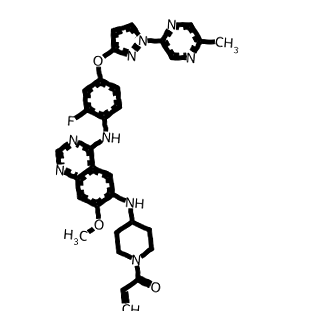 C=CC(=O)N1CCC(Nc2cc3c(Nc4ccc(Oc5ccn(-c6cnc(C)cn6)n5)cc4F)ncnc3cc2OC)CC1